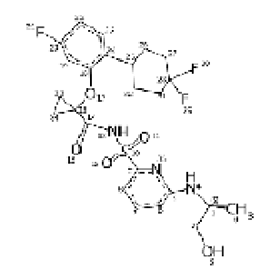 C[C@@H](CO)Nc1cccc(S(=O)(=O)NC(=O)C2(Oc3cc(F)ccc3C3CCC(F)(F)CC3)CC2)n1